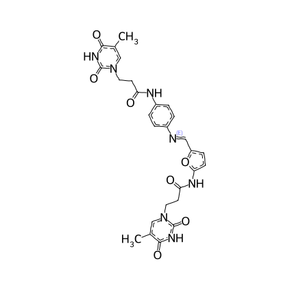 Cc1cn(CCC(=O)Nc2ccc(/N=C/c3ccc(NC(=O)CCn4cc(C)c(=O)[nH]c4=O)o3)cc2)c(=O)[nH]c1=O